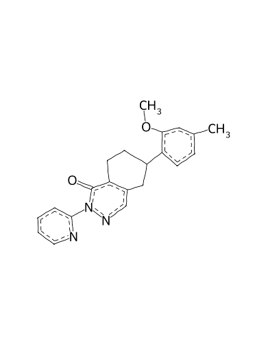 COc1cc(C)ccc1C1CCc2c(cnn(-c3ccccn3)c2=O)C1